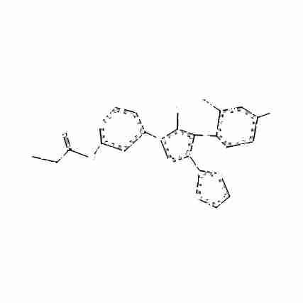 [C-]#[N+]c1c(-c2ccnc(NC(=O)CCl)c2)sc(-c2ncc[nH]2)c1-c1ccc(Cl)cc1Cl